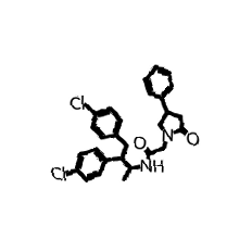 CC(NC(=O)CN1CC(c2ccccc2)CC1=O)C(Cc1ccc(Cl)cc1)c1ccc(Cl)cc1